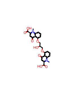 Cn1c(C(=O)O)cc(=O)c2c(OCC(O)COc3cccc4c3c(=O)cc(C(=O)O)n4C)cccc21